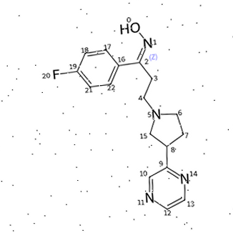 O/N=C(/CCN1CCC(c2cnccn2)C1)c1ccc(F)cc1